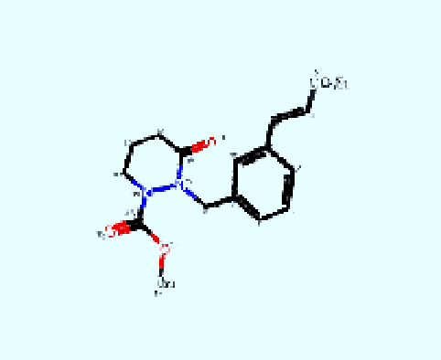 CCOC(=O)C=Cc1cccc(CN2C(=O)CCCN2C(=O)OC(C)(C)C)c1